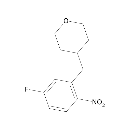 O=[N+]([O-])c1ccc(F)cc1CC1CCOCC1